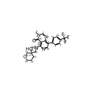 Cn1cnc2c(-c3ccc(C(F)(F)F)cc3)cnc(NC[C@]3(O)CCCOC3)c2c1=O